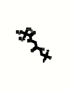 CC(C)(C)C(=O)NCC(=O)NCC(F)(F)F